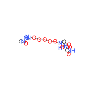 O=C1CCC(N2C(=O)c3cccc(NCCOCCOCCOCCOCCOCCn4cc(C(=O)N5CCCCC5)nn4)c3C2=O)C(=O)N1